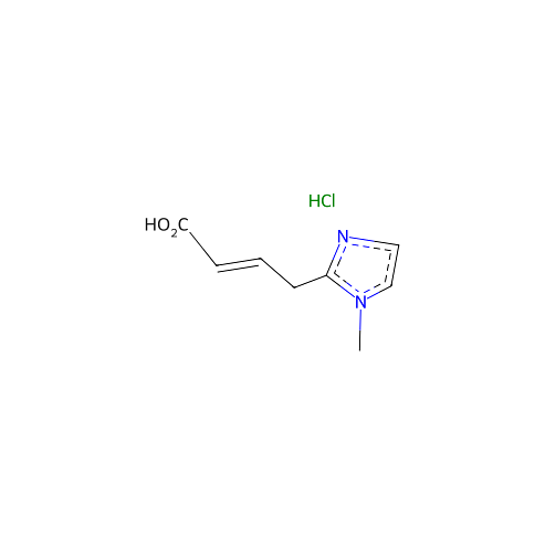 Cl.Cn1ccnc1CC=CC(=O)O